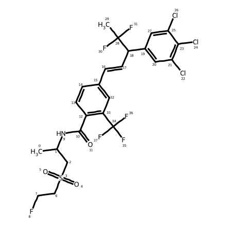 CC(CS(=O)(=O)CCF)NC(=O)c1ccc(/C=C/C(c2cc(Cl)c(Cl)c(Cl)c2)C(C)(F)F)cc1C(F)(F)F